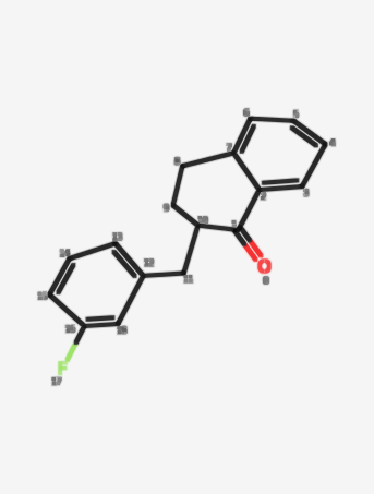 O=C1c2ccccc2CCC1Cc1cccc(F)c1